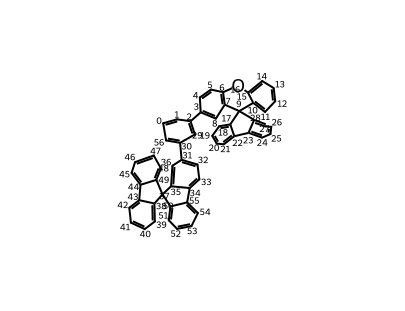 c1cc(-c2ccc3c(c2)C2(c4ccccc4O3)c3ccccc3-c3ccccc32)cc(-c2ccc3c(c2)C2(c4ccccc4-c4ccccc42)c2ccccc2-3)c1